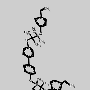 C=Cc1ccc(OC2(C)CC[Si]2(C)Oc2ccc(-c3ccc(OC(C)(C)[Si](C)(C)Oc4ccc(C=C)cc4)cc3)cc2)cc1